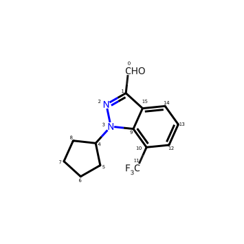 O=Cc1nn(C2CCCC2)c2c(C(F)(F)F)cccc12